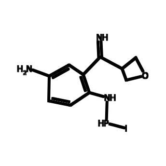 N=C(c1cc(N)ccc1NPI)C1COC1